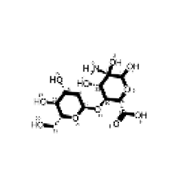 N[C@@]1(O)C(O)O[C@H](C(=O)O)[C@@H](O[C@@H]2C[C@@H](O)[C@H](O)[C@@H](CO)O2)[C@@H]1O